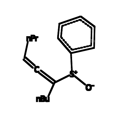 CCCC=C=C(CCCC)[S+]([O-])c1ccccc1